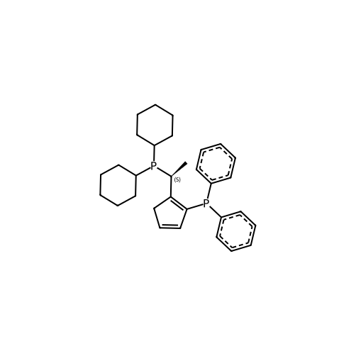 C[C@@H](C1=C(P(c2ccccc2)c2ccccc2)C=CC1)P(C1CCCCC1)C1CCCCC1